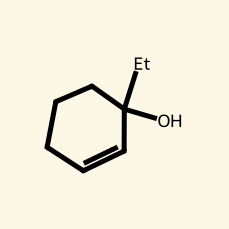 CCC1(O)C=CCCC1